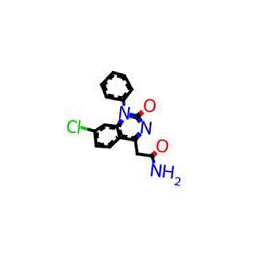 NC(=O)Cc1nc(=O)n(-c2ccccc2)c2cc(Cl)ccc12